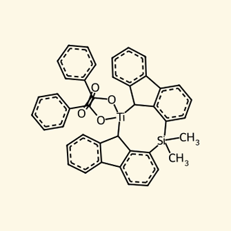 C[Si]1(C)c2cccc3c2[CH](c2ccccc2-3)[Ti]([O]C(=O)c2ccccc2)([O]C(=O)c2ccccc2)[CH]2c3ccccc3-c3cccc1c32